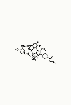 C=CC(=O)N1CCC(n2nc(N3CC[C@@H](CN4CC(O)C(OC)C4)CC3(C)C)c(-c3c(Cl)c(Cl)cc4[nH]ncc34)c2C)CC1